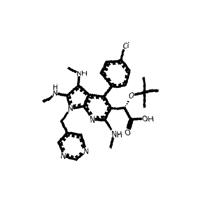 CNc1nc2c(c(NC)c(NC)n2Cc2cncnc2)c(-c2ccc(Cl)cc2)c1[C@H](OC(C)(C)C)C(=O)O